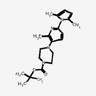 Cc1nc(-n2c(C)ccc2C)ccc1N1CCN(C(=O)OC(C)(C)C)CC1